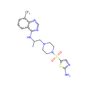 CC(CN1CCN(S(=O)(=O)c2cnc(N)s2)CC1)Nc1ncnc2c(C(F)(F)F)cccc12